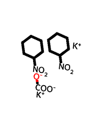 O=C([O-])[O-].O=[N+]([O-])C1CCCCC1.O=[N+]([O-])C1CCCCC1.[K+].[K+]